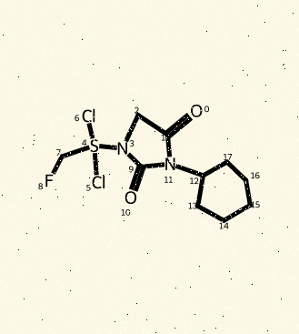 O=C1CN(S(Cl)(Cl)CF)C(=O)N1C1CCCCC1